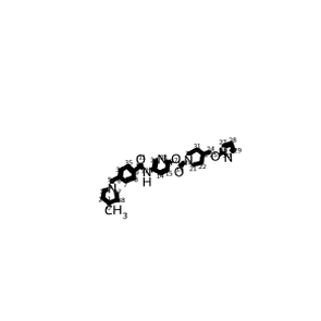 CC1CCN(Cc2ccc(C(=O)Nc3ccc(OC(=O)N4CCC(COn5cccn5)CC4)nc3)cc2)CC1